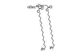 CCCCCCCCCCCC(=O)OCCCCCCCCCCCCCCCC(C)C.CCCCCCCCCCCC(=O)OCCCCCCCCCCCCCCCC(C)C